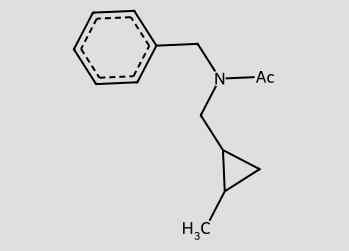 CC(=O)N(Cc1ccccc1)CC1CC1C